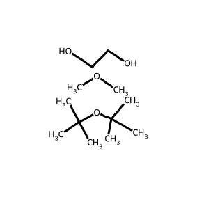 CC(C)(C)OC(C)(C)C.COC.OCCO